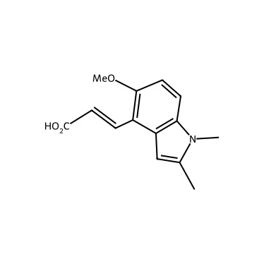 COc1ccc2c(cc(C)n2C)c1/C=C/C(=O)O